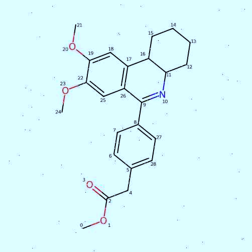 COC(=O)Cc1ccc(C2=NC3CCCCC3c3cc(OC)c(OC)cc32)cc1